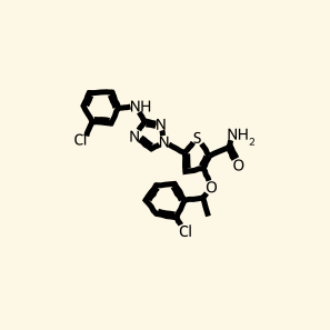 CC(Oc1cc(-n2cnc(Nc3cccc(Cl)c3)n2)sc1C(N)=O)c1ccccc1Cl